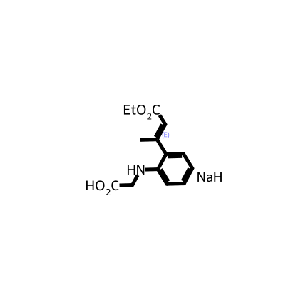 CCOC(=O)/C=C(\C)c1ccccc1NCC(=O)O.[NaH]